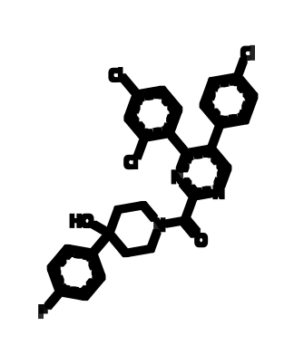 O=C(c1ncc(-c2ccc(Cl)cc2)c(-c2ccc(Cl)cc2Cl)n1)N1CCC(O)(c2ccc(F)cc2)CC1